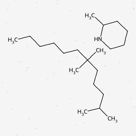 CC1CCCCN1.CCCCCCC(C)(C)CCCC(C)C